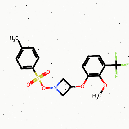 COc1c(OC2CN(OS(=O)(=O)c3ccc(C)cc3)C2)cccc1C(F)(F)F